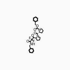 O=C([C@H]1CCCN1C(=O)OCc1ccccc1)N1CCCC1C(=O)C(F)(F)C(=O)NCc1ccccc1